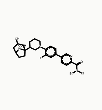 CCN(CC)C(=O)c1ccc(-c2ccc(N3CCCC(C45CCC(CC(O)C4)N5C(=O)O)C3)c(F)c2)cn1